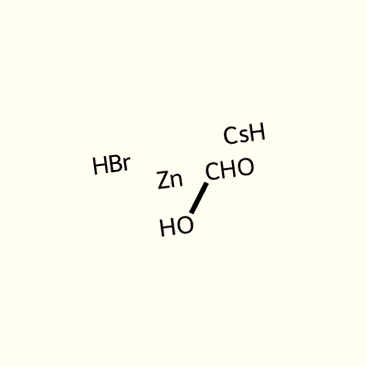 Br.O=CO.[CsH].[Zn]